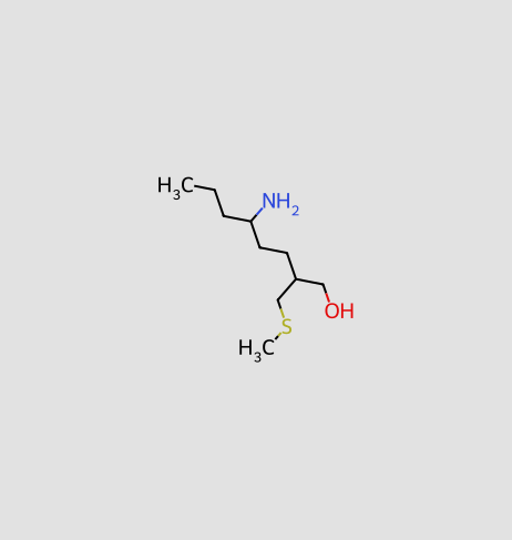 CCCC(N)CCC(CO)CSC